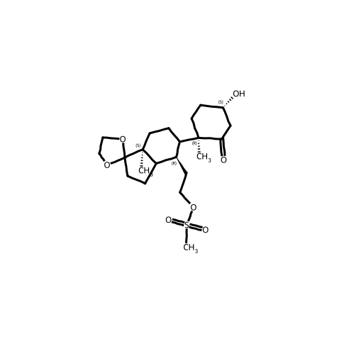 C[C@]1(C2CC[C@@]3(C)C(CCC34OCCO4)[C@@H]2CCOS(C)(=O)=O)CC[C@H](O)CC1=O